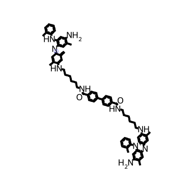 C=C1C=C(NCCCCCCNC(=O)c2ccc(-c3ccc(C(=O)NCCCCCCNc4cc5c(cc4C)nc4cc(C)c(N)cc4[n+]5-c4ccccc4C)cc3)cc2)C(C)=C/C1=N/c1cc(C)c(N)cc1Nc1ccccc1C